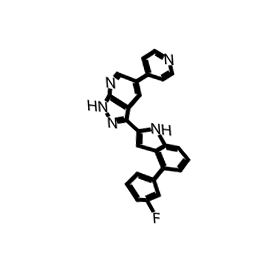 Fc1cccc(-c2cccc3[nH]c(-c4n[nH]c5ncc(-c6ccncc6)cc45)cc23)c1